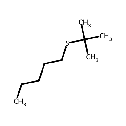 CCCCCSC(C)(C)C